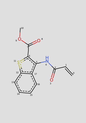 C=CC(=O)Nc1c(C(=O)OC)sc2ccccc12